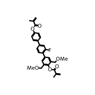 C=C(C)C(=O)Oc1ccc(-c2ccc(-c3cc(COC)c(OC(=O)C(=C)C)c(COC)c3)c(F)c2)cc1